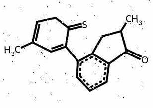 CC1=CCC(=S)C(c2cccc3c2CC(C)C3=O)=C1